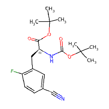 CC(C)(C)OC(=O)N[C@@H](Cc1cc(C#N)ccc1F)C(=O)OC(C)(C)C